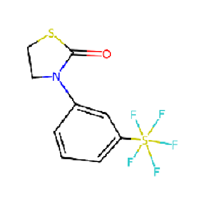 O=C1SCCN1c1cccc(S(F)(F)(F)(F)F)c1